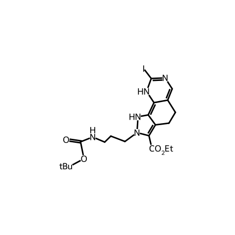 CCOC(=O)C1=C2CCC3=CN=C(I)NC3=C2NN1CCCNC(=O)OC(C)(C)C